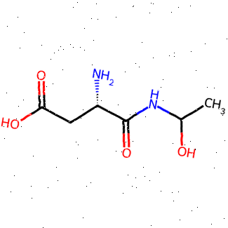 CC(O)NC(=O)[C@@H](N)CC(=O)O